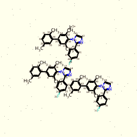 Cc1ccc(C)c(-c2cc(C)c(-n3ccnc3-c3ccc(F)cc3)c(C)c2)c1.Cc1ccc(C)c(-c2cc(C)c(-n3ccnc3-c3ccc(F)cc3)c(C)c2)c1.Cc1ccc(C)c(-c2cc(C)c(-n3ccnc3-c3ccc(F)cc3)c(C)c2)c1.[Ir+3]